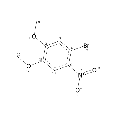 COc1cc(Br)c([N+](=O)[O-])cc1OC